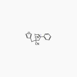 N#CC(C#N)(C/C(=C\I)c1ccccc1)Cc1ccoc1